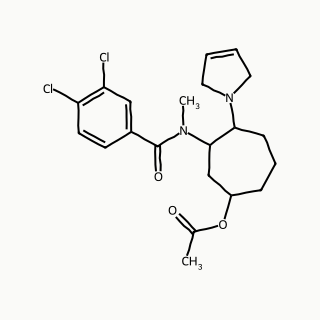 CC(=O)OC1CCCC(N2CC=CC2)C(N(C)C(=O)c2ccc(Cl)c(Cl)c2)C1